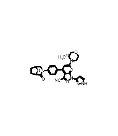 C[C@@H]1COCCN1c1cc(-c2ccc(N3CC4CCC(O4)C3=O)cc2)c2c(C#N)nn(-c3cc[nH]n3)c2n1